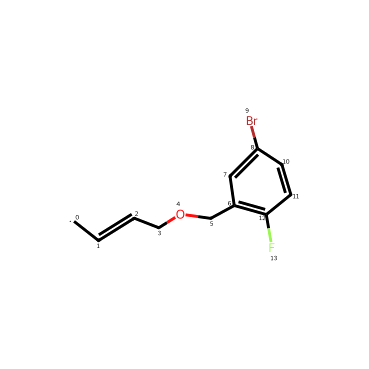 [CH2]/C=C/COCc1cc(Br)ccc1F